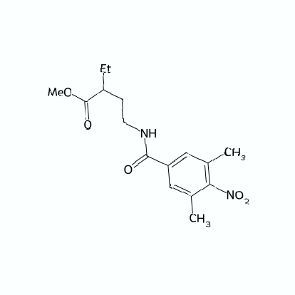 CCC(CCNC(=O)c1cc(C)c([N+](=O)[O-])c(C)c1)C(=O)OC